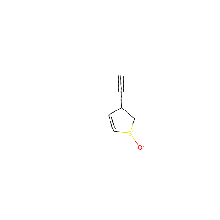 C#CC1C=C[S+]([O-])C1